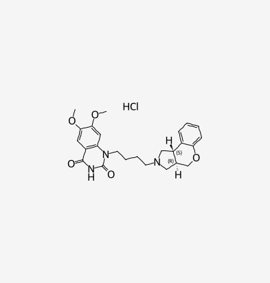 COc1cc2c(=O)[nH]c(=O)n(CCCCN3C[C@@H]4COc5ccccc5[C@H]4C3)c2cc1OC.Cl